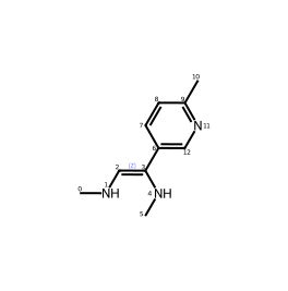 CN/C=C(\NC)c1ccc(C)nc1